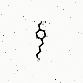 OCCCCC1CCC(CO)CC1